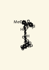 COc1ccc2c(c1)c(CC(=O)NCCCCNC(=O)CCC(=O)O[C@@H]1c3cc4c(cc3C[C@@H]3C(=O)OCC31)OCO4)c(C)n2C(=O)c1ccc(Cl)cc1